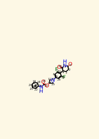 O=C1CCC(c2c(F)cc(N3CC(OC(=O)NC45CCC(CC4)CC5)C3)cc2F)C(=O)N1